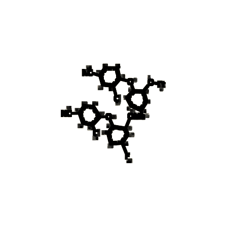 CCOc1cc(C)ccc1Oc1ccc(C#N)cc1Cl.COc1cc(F)ccc1Oc1ccc(C#N)cc1Cl